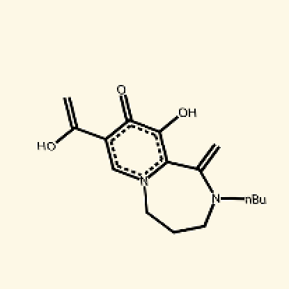 C=C(O)c1cn2c(c(O)c1=O)C(=C)N(CCCC)CCC2